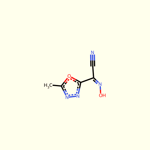 Cc1nnc(/C(C#N)=N\O)o1